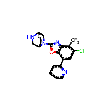 FC(F)(F)c1c(Cl)cc(-c2ccccn2)c2oc(N3CC4CCCC3CN4)nc12